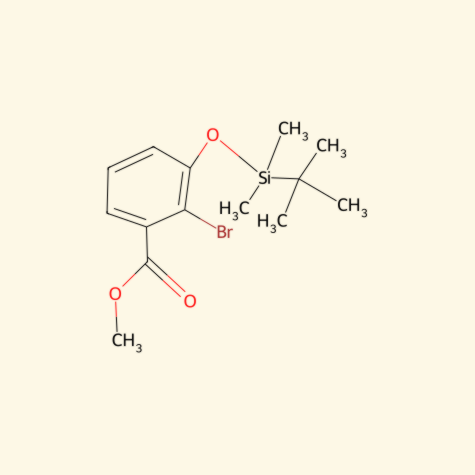 COC(=O)c1cccc(O[Si](C)(C)C(C)(C)C)c1Br